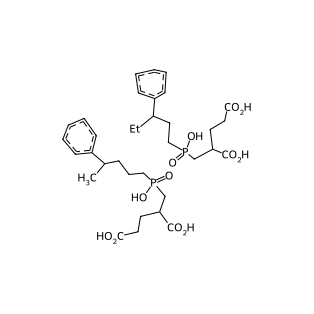 CC(CCCP(=O)(O)CC(CCC(=O)O)C(=O)O)c1ccccc1.CCC(CCP(=O)(O)CC(CCC(=O)O)C(=O)O)c1ccccc1